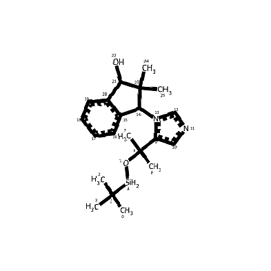 CC(C)(C)[SiH2]OC(C)(C)c1cncn1C1c2ccccc2C(O)C1(C)C